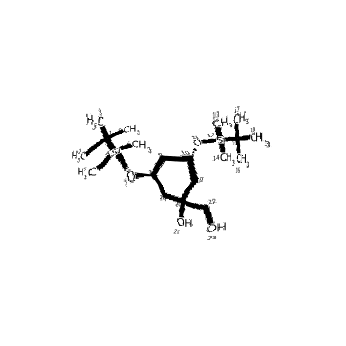 CC(C)(C)[Si](C)(C)O[C@H]1C[C@H](O[Si](C)(C)C(C)(C)C)CC(O)(CO)C1